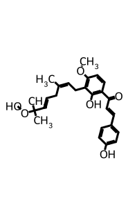 COc1ccc(C(=O)C=Cc2ccc(O)cc2)c(O)c1CC=C(C)CC=CC(C)(C)OO